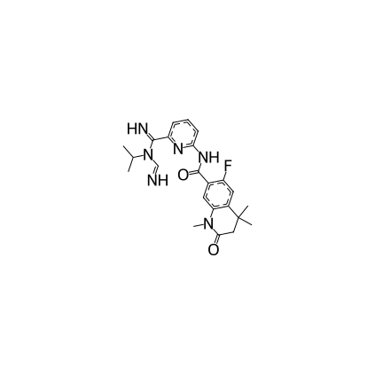 CC(C)N(C=N)C(=N)c1cccc(NC(=O)c2cc3c(cc2F)C(C)(C)CC(=O)N3C)n1